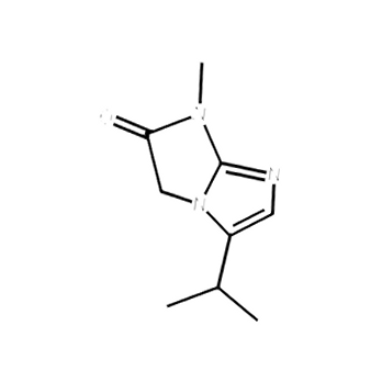 CC(C)c1cnc2n1CC(=O)N2C